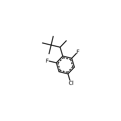 CC(c1c(F)cc(Cl)cc1F)C(C)(C)C